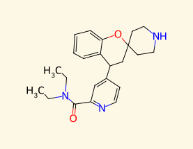 CCN(CC)C(=O)c1cc(C2CC3(CCNCC3)Oc3ccccc32)ccn1